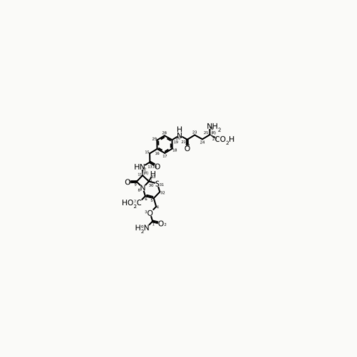 NC(=O)OCC1=C(C(=O)O)N2C(=O)[C@@H](NC(=O)Cc3ccc(NC(=O)CC[C@@H](N)C(=O)O)cc3)[C@@H]2SC1